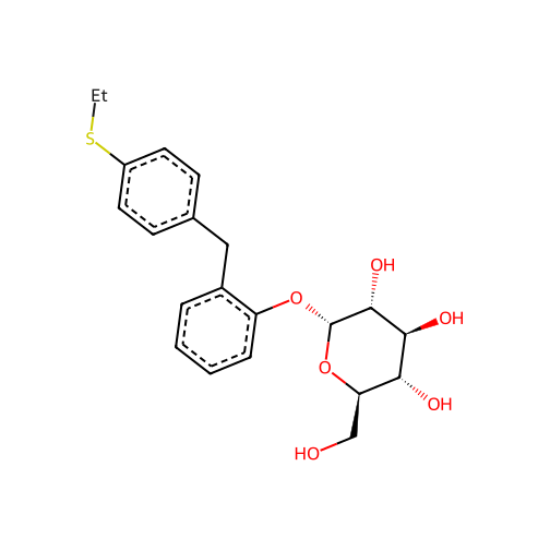 CCSc1ccc(Cc2ccccc2O[C@H]2O[C@H](CO)[C@@H](O)[C@H](O)[C@H]2O)cc1